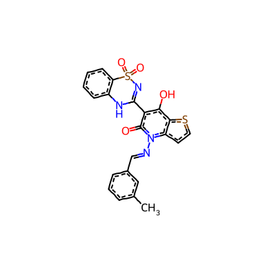 Cc1cccc(C=Nn2c(=O)c(C3=NS(=O)(=O)c4ccccc4N3)c(O)c3sccc32)c1